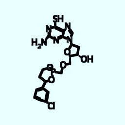 Nc1nc(S)c2ncn([C@H]3C[C@H](O)[C@@H](COCP4OCCC(c5cccc(Cl)c5)O4)O3)c2n1